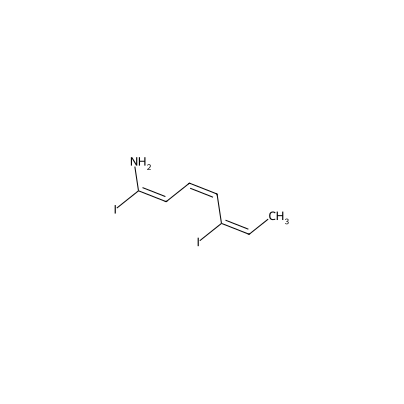 C\C=C(I)/C=C\C=C(/N)I